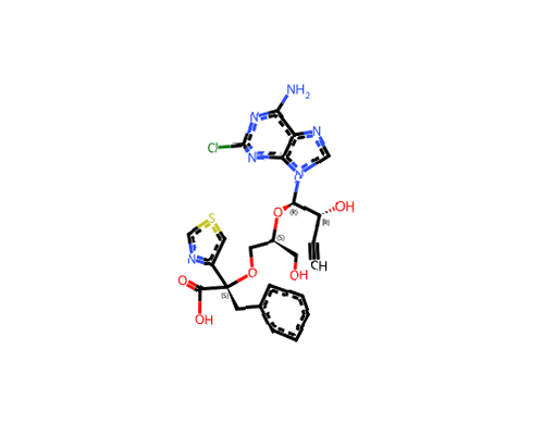 C#C[C@@H](O)[C@@H](O[C@@H](CO)CO[C@](Cc1ccccc1)(C(=O)O)c1cscn1)n1cnc2c(N)nc(Cl)nc21